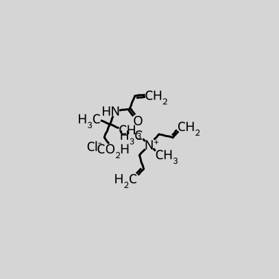 C=CC(=O)NC(C)(C)CC(=O)O.C=CC[N+](C)(C)CC=C.[Cl-]